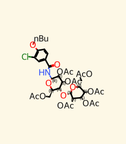 CCCCOc1ccc(C(=O)N[C@@H]2O[C@H](COC(C)=O)[C@@H](O[C@@H]3O[C@H](COC(C)=O)[C@@H](OC(C)=O)[C@H](OC(C)=O)[C@H]3OC(C)=O)[C@H](OC(C)=O)[C@H]2OC(C)=O)cc1Cl